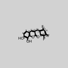 O=c1oc2c(O)c(O)ccc2cc1Cc1cc(F)c(F)cc1F